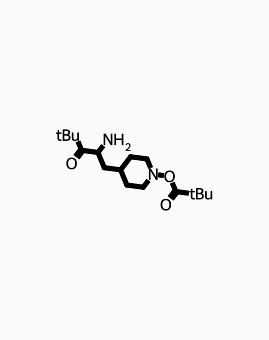 CC(C)(C)C(=O)ON1CCC(CC(N)C(=O)C(C)(C)C)CC1